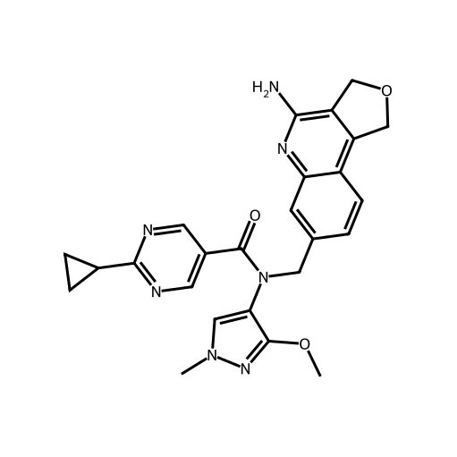 COc1nn(C)cc1N(Cc1ccc2c3c(c(N)nc2c1)COC3)C(=O)c1cnc(C2CC2)nc1